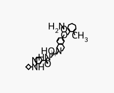 CC1=CCCCC(ON)=C1COc1ccc2c(c1)CCN(C[C@@H](O)CNC(=O)c1ccnc(NC3CCC3)c1)C2